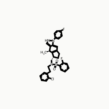 C[C@H]1C2=CNN(c3ccc(F)cc3)C2=CC2=C1[C@@H](CN(CCc1ccccc1Cl)S(=O)(=O)c1ccccc1F)CC2